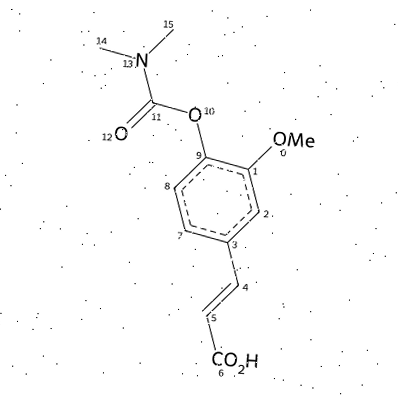 COc1cc(/C=C/C(=O)O)ccc1OC(=O)N(C)C